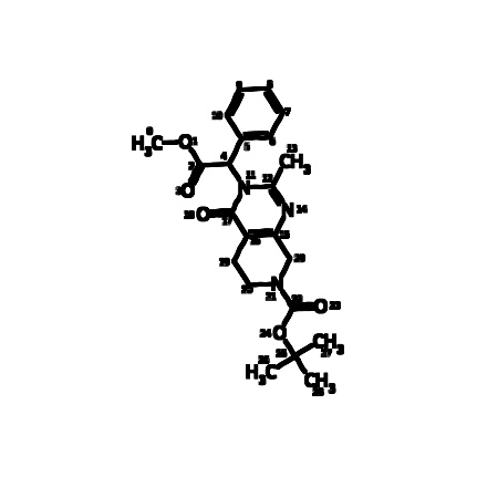 COC(=O)C(c1ccccc1)n1c(C)nc2c(c1=O)CCN(C(=O)OC(C)(C)C)C2